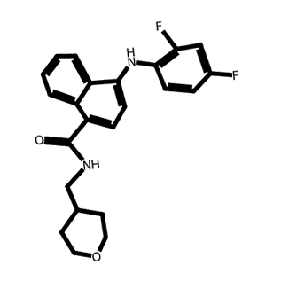 O=C(NCC1CCOCC1)c1ccc(Nc2ccc(F)cc2F)c2ccccc12